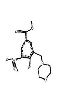 COC(=O)c1cc(CN2CCOCC2)c(F)c([N+](=O)[O-])c1